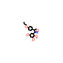 CCCOc1ccc(-c2conc2-c2cc(OC)cc(OC)c2OC)cc1